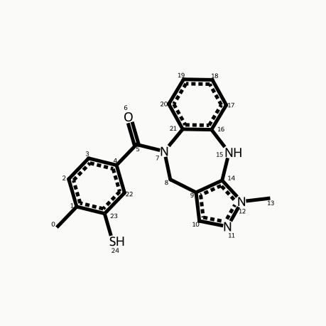 Cc1ccc(C(=O)N2Cc3cnn(C)c3Nc3ccccc32)cc1S